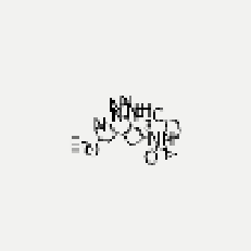 CCOc1cncc(-c2ccc(NC(=O)C3(c4cccc(C(F)(F)F)c4)CC3)cc2-c2nnn[nH]2)c1